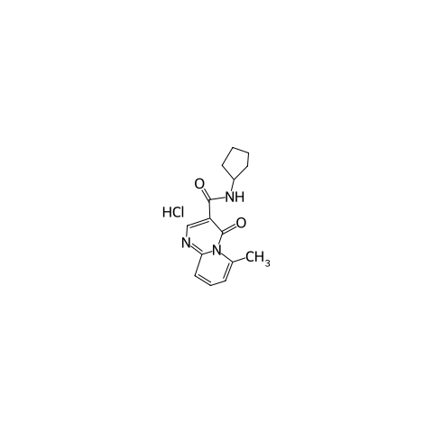 Cc1cccc2ncc(C(=O)NC3CCCC3)c(=O)n12.Cl